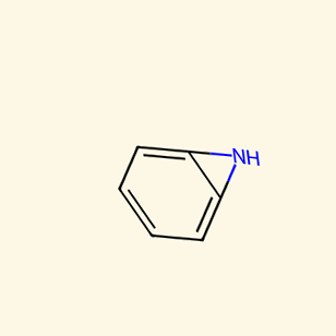 c1ccc2c(c1)N2